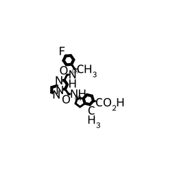 Cc1c(C(=O)O)ccc2c1CC[C@@H]2NC(=O)c1cc(C(=O)N[C@@H](C)c2ccc(F)cc2)nc2ccnn12